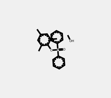 CO.Cc1cc(C)c(OP(=O)(c2ccccc2)c2ccccc2)c(C)c1